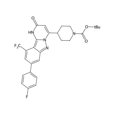 CC(C)(C)OC(=O)N1CCC(c2cc(=O)[nH]c3c4c(C(F)(F)F)cc(-c5ccc(F)cc5)cc4nn23)CC1